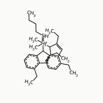 CCCC[SiH]=[Hf]([CH3])([CH3])([CH]1C(CC)=Cc2c(CC)cccc21)[CH]1C(CC)=Cc2c(CC)cccc21